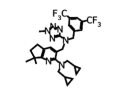 Cn1nnc(N(Cc2cc(C(F)(F)F)cc(C(F)(F)F)c2)Cc2cc3c(nc2N(CC2CC2)CC2CC2)C(C)(C)CC3)n1